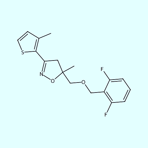 Cc1ccsc1C1=NOC(C)(COCc2c(F)cccc2F)C1